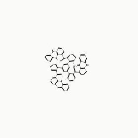 O=C1c2ccccc2-c2ncc(-c3ccccc3-c3cc(-c4ccccc4-c4cnc5c6c(cccc46)C(=O)c4ccccc4-5)cc(-c4ccccc4-c4cnc5c6c(cccc46)C(=O)c4ccccc4-5)c3)c3cccc1c23